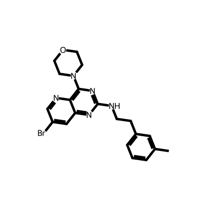 Cc1cccc(CCNc2nc(N3CCOCC3)c3ncc(Br)cc3n2)c1